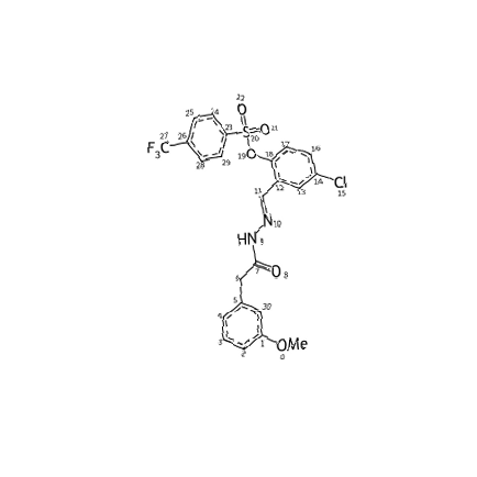 COc1cccc(CC(=O)NN=Cc2cc(Cl)ccc2OS(=O)(=O)c2ccc(C(F)(F)F)cc2)c1